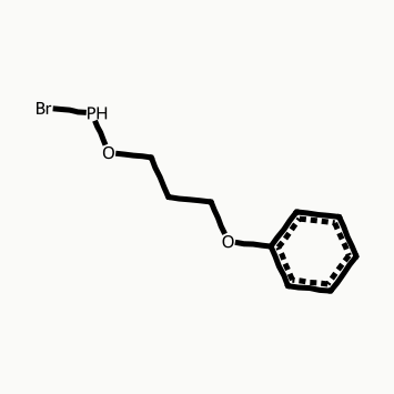 BrPOCCCOc1ccccc1